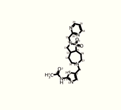 CC(=O)Nc1ncc(CN2CCC3CN(Cc4ncccn4)S(=O)(=O)C3CC2)s1